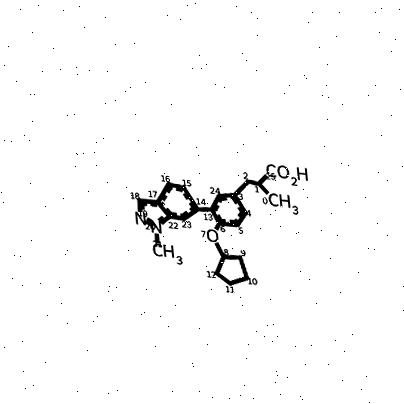 CC(Cc1ccc(OC2CCCC2)c(-c2ccc3cnn(C)c3c2)c1)C(=O)O